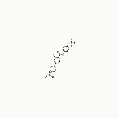 CCC[SiH]([SiH3])C1CCC(c2ccc(C(=O)Oc3ccc(OC(F)(F)F)cc3)c(F)c2)CC1